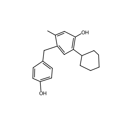 Cc1cc(O)c(C2CCCCC2)cc1Cc1ccc(O)cc1